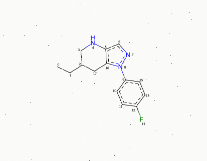 CCC1CNc2cnn(-c3ccc(F)cc3)c2C1